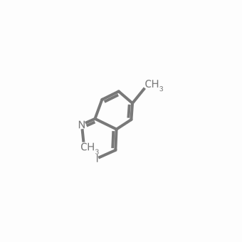 C/N=C1/C=CC(C)=C/C1=C/I